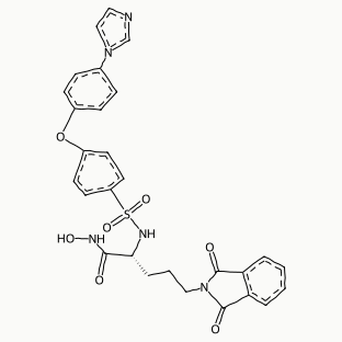 O=C(NO)[C@@H](CCCN1C(=O)c2ccccc2C1=O)NS(=O)(=O)c1ccc(Oc2ccc(-n3ccnc3)cc2)cc1